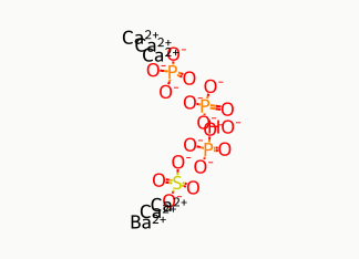 O=P([O-])([O-])[O-].O=P([O-])([O-])[O-].O=P([O-])([O-])[O-].O=S(=O)([O-])[O-].[Ba+2].[Ca+2].[Ca+2].[Ca+2].[Ca+2].[Ca+2].[OH-]